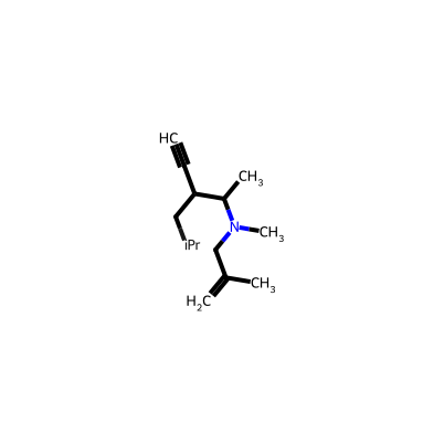 C#CC(CC(C)C)C(C)N(C)CC(=C)C